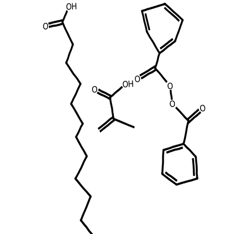 C=C(C)C(=O)O.CCCCCCCCCCCC(=O)O.O=C(OOC(=O)c1ccccc1)c1ccccc1